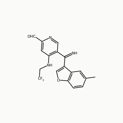 Cc1ccc2occ(C(=N)c3cnc(C=O)cc3NCC(F)(F)F)c2c1